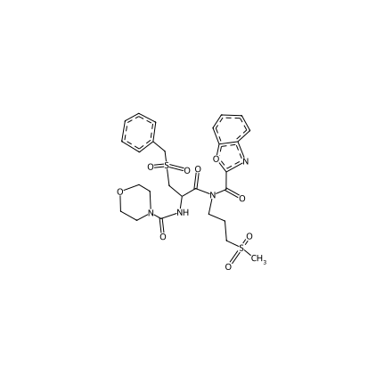 CS(=O)(=O)CCCN(C(=O)c1nc2ccccc2o1)C(=O)C(CS(=O)(=O)Cc1ccccc1)NC(=O)N1CCOCC1